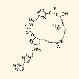 CC1=C\C(O)CC(F)Cc2nc(co2)C(=O)N2CCCC2C(=O)OC(C(C)C)C(CC(=O)NCCn2cc(-c3ccn[nH]3)nn2)/C=C/C(=O)NC\C=C\1